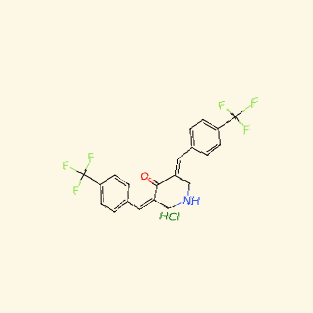 Cl.O=C1C(=Cc2ccc(C(F)(F)F)cc2)CNCC1=Cc1ccc(C(F)(F)F)cc1